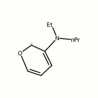 CCCN(CC)C1=CC=CO[C]1